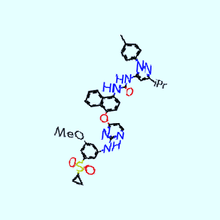 COc1cc(Nc2nccc(Oc3ccc(NC(=O)Nc4cc(C(C)C)nn4-c4ccc(C)cc4)c4ccccc34)n2)cc(S(=O)(=O)C2CC2)c1